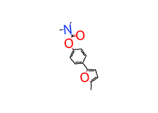 Cc1ccc(-c2ccc(OC(=O)N(C)C)cc2)o1